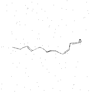 CC/C=C/CCC/C=C\C=O